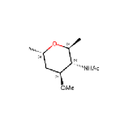 CO[C@H]1C[C@H](C)O[C@@H](C)[C@@H]1NC(C)=O